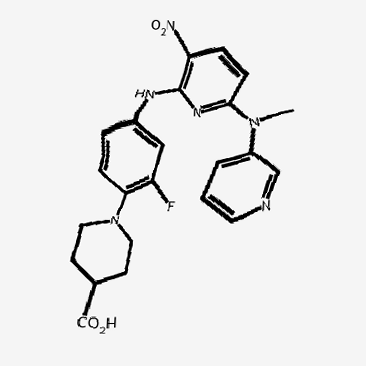 CN(c1cccnc1)c1ccc([N+](=O)[O-])c(Nc2ccc(N3CCC(C(=O)O)CC3)c(F)c2)n1